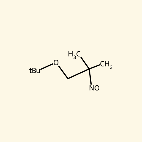 CC(C)(COC(C)(C)C)N=O